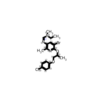 CCN(C)/C=N\c1cc(Br)c(OC(C)COc2ccc(Cl)cc2)nc1C